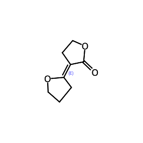 O=C1OCC/C1=C1/CCCO1